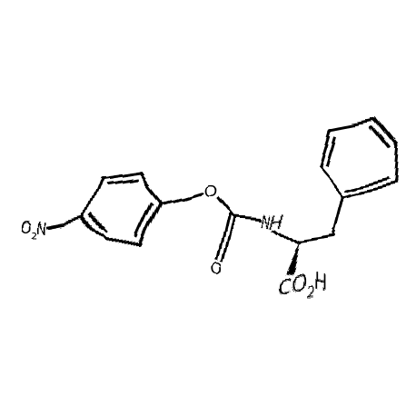 O=C(N[C@@H](Cc1ccccc1)C(=O)O)Oc1ccc([N+](=O)[O-])cc1